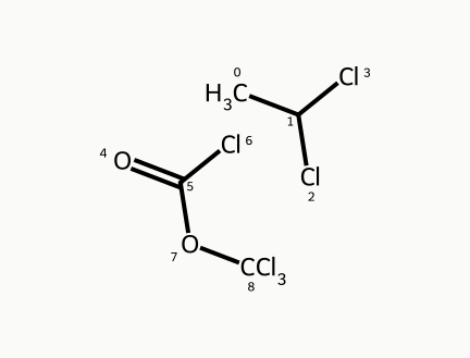 CC(Cl)Cl.O=C(Cl)OC(Cl)(Cl)Cl